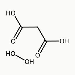 O=C(O)CC(=O)O.OO